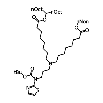 CCCCCCCCCOC(=O)CCCCCCCN(CCCCCCCC(=O)OC(CCCCCCCC)CCCCCCCC)CCCN(C(=O)OC(C)(C)C)c1nccs1